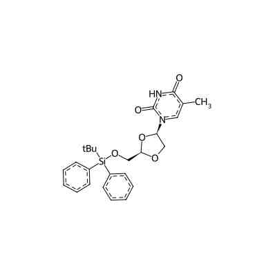 Cc1cn([C@H]2CO[C@@H](CO[Si](c3ccccc3)(c3ccccc3)C(C)(C)C)O2)c(=O)[nH]c1=O